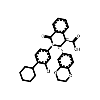 O=C(O)[C@@H]1c2ccccc2C(=O)N(c2ccc(C3CCCCC3)c(Cl)c2)[C@H]1c1ccc2c(c1)OCCO2